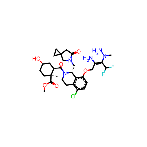 COC(=O)[C@@]1(C)CC[C@@H](O)C[C@H]1C(=O)N1CCc2c(Cl)ccc(OC/C(N)=C(\C(F)F)N(C)N)c2[C@H]1CN1CC2(CC2)CC1=O